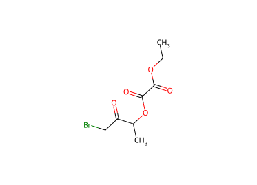 CCOC(=O)C(=O)OC(C)C(=O)CBr